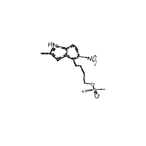 Cc1cc2c(CCCOS(C)(=O)=O)c([N+](=O)[O-])ccc2[nH]1